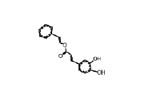 O=C(C=Cc1ccc(O)c(O)c1)OC=Cc1ccccc1